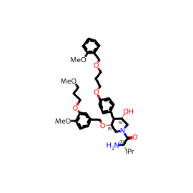 COCCCOc1cc(CO[C@H]2CN(C(=O)[C@@H](N)C(C)C)C[C@@H](O)C2c2ccc(OCCCOCc3ccccc3OC)cc2)ccc1OC